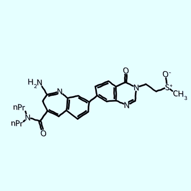 CCCN(CCC)C(=O)C1=Cc2ccc(-c3ccc4c(=O)n(CC[S+](C)[O-])cnc4c3)cc2N=C(N)C1